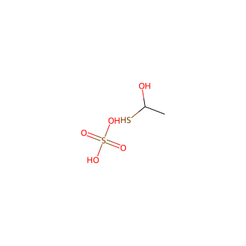 CC(O)S.O=S(=O)(O)O